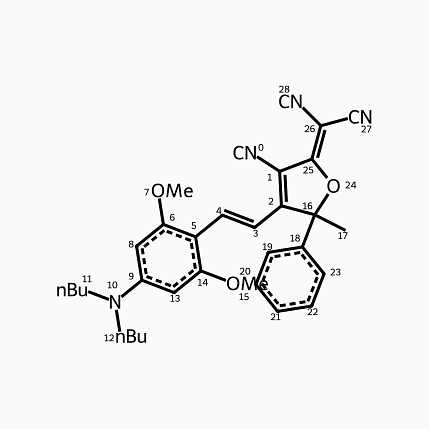 [C-]#[N+]C1=C(/C=C/c2c(OC)cc(N(CCCC)CCCC)cc2OC)C(C)(c2ccccc2)O/C1=C(\C#N)[N+]#[C-]